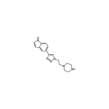 c1cc2cc(-c3cn(CCN4CCNCC4)nn3)ccc2[nH]1